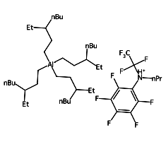 CCCCC(CC)C[CH2][Al-]([CH2]CC(CC)CCCC)([CH2]CC(CC)CCCC)[CH2]CC(CC)CCCC.CCC[NH+](c1c(F)c(F)c(F)c(F)c1F)C(F)(F)C(F)(F)F